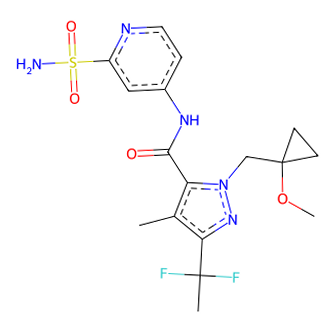 COC1(Cn2nc(C(C)(F)F)c(C)c2C(=O)Nc2ccnc(S(N)(=O)=O)c2)CC1